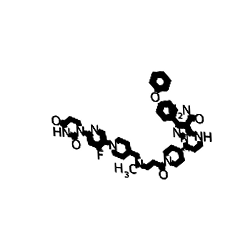 CN(CCC(=O)N1CCC([C@@H]2CCNc3c(C(N)=O)c(-c4ccc(Oc5ccccc5)cc4)nn32)CC1)CC1CCN(c2cnc(N3CCC(=O)NC3=O)cc2F)CC1